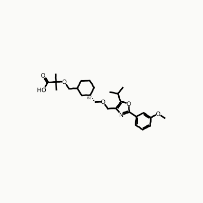 COc1cccc(-c2nc(COC[C@H]3CCCC(COC(C)(C)C(=O)O)C3)c(C(C)C)o2)c1